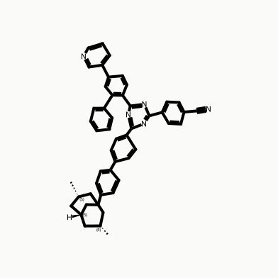 C[C@@H]1C[C@@H]2C[C@H](C)CC(c3ccc(-c4ccc(-c5nc(-c6ccc(C#N)cc6)nc(-c6ccc(-c7cccnc7)cc6-c6ccccc6)n5)cc4)cc3)(C1)C2